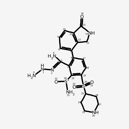 NN/N=C(\N)c1c(-c2cccc3c2CNC3=O)ccc(S(=O)(=O)C2CCNCC2)c1[S+](N)[O-]